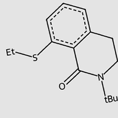 CCSc1cccc2c1C(=O)N(C(C)(C)C)CC2